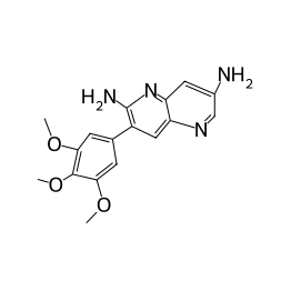 COc1cc(-c2cc3ncc(N)cc3nc2N)cc(OC)c1OC